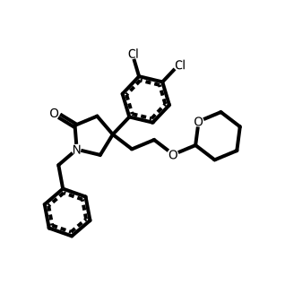 O=C1CC(CCOC2CCCCO2)(c2ccc(Cl)c(Cl)c2)CN1Cc1ccccc1